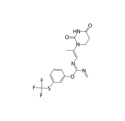 C=N/C(=N\C=C(/C)N1CCC(=O)NC1=O)Oc1cccc(SC(F)(F)F)c1